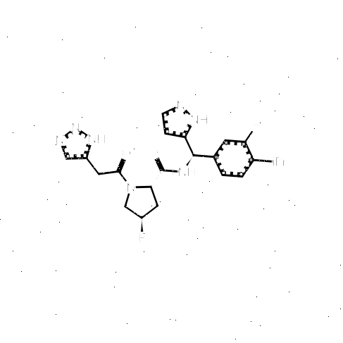 CC(C)c1ccc([C@@H](NC(=O)[C@@H]2C[C@@H](F)CN2C(=O)Cc2cnn[nH]2)c2ccn[nH]2)cc1F